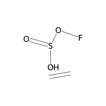 C=C.O=S(O)OF